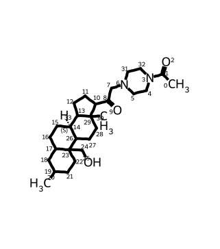 CC(=O)N1CCN(CC(=O)C2CCC3[C@@H]4CCC5CC(C)CCC5(CO)C4CCC23C)CC1